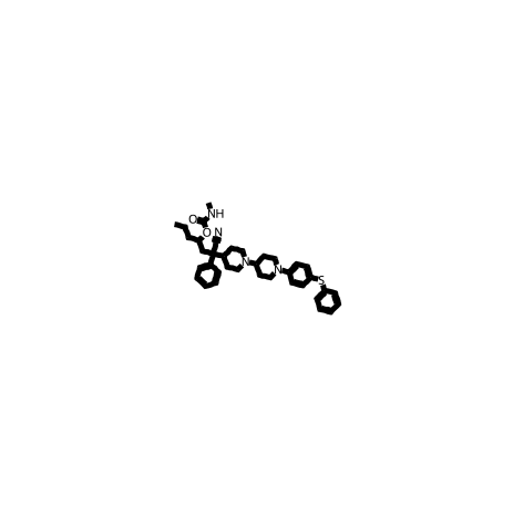 CCCC(CC(C#N)(c1ccccc1)C1CCN(C2CCN(c3ccc(Sc4ccccc4)cc3)CC2)CC1)OC(=O)NC